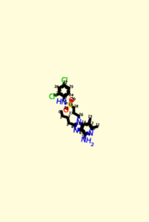 CCCCc1nc2c(N)nc(C)c(C)c2n1CCCS(=O)(=O)Nc1ccc(Cl)cc1Cl